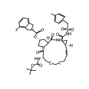 Cc1ccc(CS(=O)(=O)NC(=O)[C@@]23C[C@H]2/C=C\CCCCC[C@H](NC(=O)OC(C)(C)C)C(=O)N2C[C@H](OC(=O)N4Cc5cccc(F)c5C4)C[C@H]2C(=O)N3)cc1